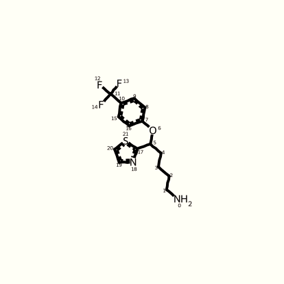 NCCCCC(Oc1ccc(C(F)(F)F)cc1)c1nccs1